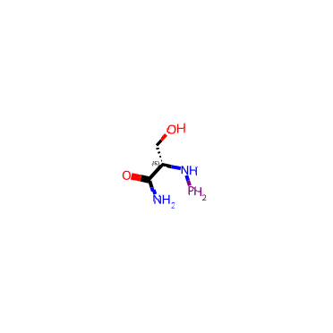 NC(=O)[C@H](CO)NP